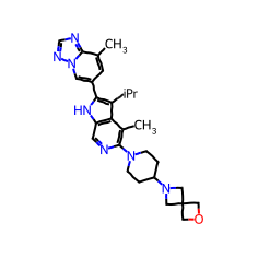 Cc1c(N2CCC(N3CC4(COC4)C3)CC2)ncc2[nH]c(-c3cc(C)c4ncnn4c3)c(C(C)C)c12